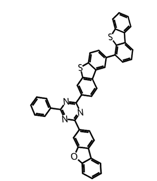 c1ccc(-c2nc(-c3ccc4c(c3)oc3ccccc34)nc(-c3ccc4c(c3)sc3ccc(-c5cccc6c5sc5ccccc56)cc34)n2)cc1